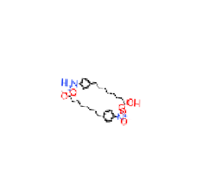 COC(=O)CCCCCC=Cc1ccc([N+](=O)[O-])cc1.Nc1ccc(CCCCCCCC(=O)O)cc1